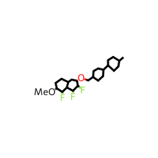 COC1CCC2CC(OCC3CCC(C4CCC(C)CC4)CC3)C(F)C(F)C2C1F